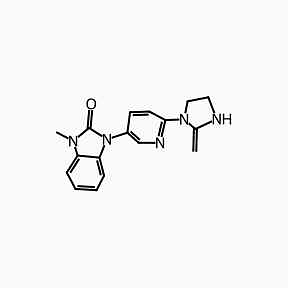 C=C1NCCN1c1ccc(-n2c(=O)n(C)c3ccccc32)cn1